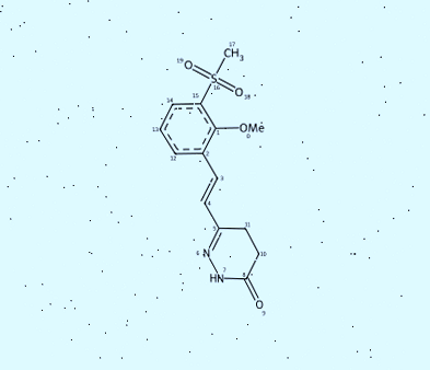 COc1c(C=CC2=NNC(=O)CC2)cccc1S(C)(=O)=O